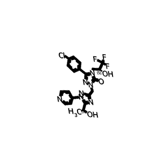 C[C@H](O)c1nc(Cn2nc(-c3ccc(Cl)cc3)n(C[C@H](O)C(F)(F)F)c2=O)nn1-c1ccncc1